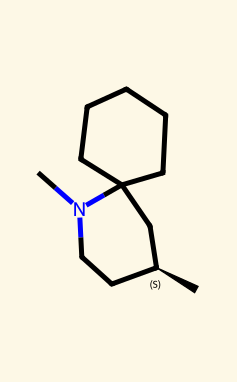 C[C@H]1CCN(C)C2(CCCCC2)C1